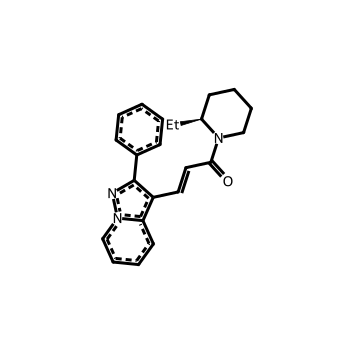 CC[C@H]1CCCCN1C(=O)/C=C/c1c(-c2ccccc2)nn2ccccc12